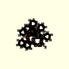 c1ccc([SiH2]O[Si]2(c3ccccc3)O[Si]3(c4ccccc4)O[Si]4(c5ccccc5)O[SiH2]O[Si]5(c6ccccc6)O[Si](c6ccccc6)(O4)O[Si](c4ccccc4)(O3)O[Si](c3ccccc3)(O5)O2)cc1